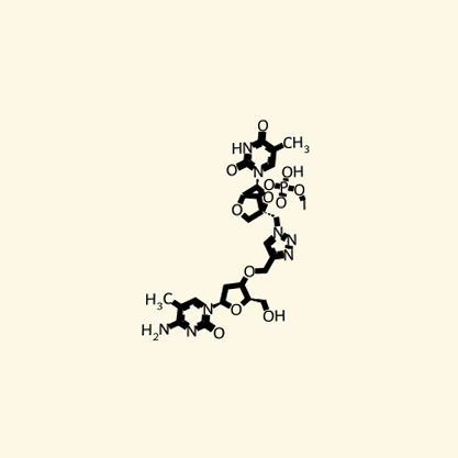 Cc1cn([C@H]2CC(OCc3cn(C[C@]45COC(C4OP(=O)(O)OI)[C@H](n4cc(C)c(=O)[nH]c4=O)O5)nn3)[C@@H](CO)O2)c(=O)nc1N